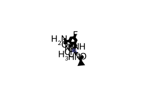 C=NN1/C(=C(\C)CNC(=O)C2CC2)Nc2cc(F)cc(C(N)=O)c21